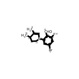 CC1=CN(c2cc(Br)cc(F)c2C=O)CCC1C